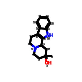 CC1(O)CCN2CCc3c([nH]c4ccccc34)C2C1